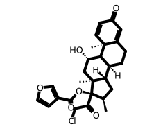 C[C@@H]1C[C@H]2[C@@H]3CCC4=CC(=O)C=C[C@]4(C)C3[C@@H](O)C[C@]2(C)[C@@]1(OC(=O)c1ccoc1)C(=O)CCl